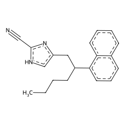 CCCCC(Cc1c[nH]c(C#N)n1)c1cccc2ccccc12